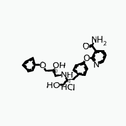 Cl.NC(=O)c1cccnc1Oc1ccc(C[C@@H](CO)NC[C@@H](O)COc2ccccc2)cc1